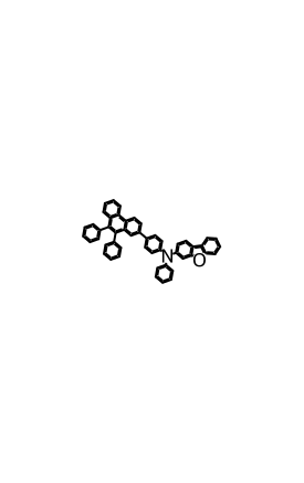 c1ccc(-c2c(-c3ccccc3)c3cc(-c4ccc(N(c5ccccc5)c5ccc6c(c5)oc5ccccc56)cc4)ccc3c3ccccc23)cc1